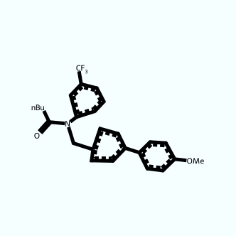 CCCCC(=O)N(Cc1ccc(-c2ccc(OC)cc2)cc1)c1cccc(C(F)(F)F)c1